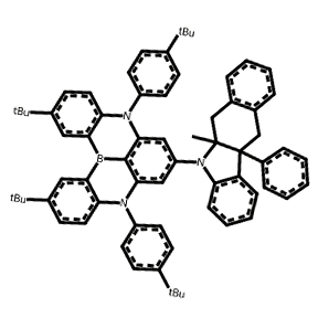 CC(C)(C)c1ccc(N2c3ccc(C(C)(C)C)cc3B3c4cc(C(C)(C)C)ccc4N(c4ccc(C(C)(C)C)cc4)c4cc(N5c6ccccc6C6(c7ccccc7)Cc7ccccc7CC56C)cc2c43)cc1